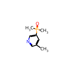 Cc1cncc(P(C)(C)=O)c1